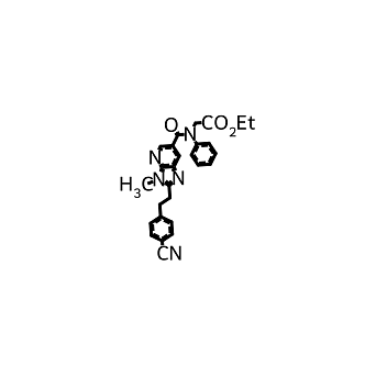 CCOC(=O)CN(C(=O)c1cnc2c(c1)nc(CCc1ccc(C#N)cc1)n2C)c1ccccc1